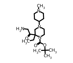 CCC1(C(=O)CN)CN(C2CCN(C)CC2)CCN1C(=O)OC(C)(C)C